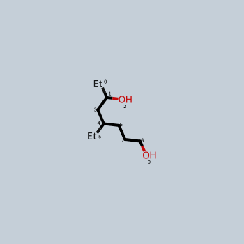 CCC(O)CC(CC)CCCO